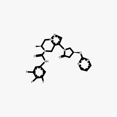 C[C@H]1Cn2ncc(N3C[C@@H](Oc4ncccn4)CC3=O)c2CN1C(=O)Nc1cc(F)c(F)c(F)c1